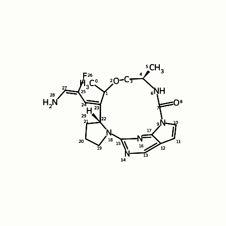 CC1OC[C@@H](C)NC(=O)n2ccc3cnc(nc32)N2CCC[C@@H]2/C1=C/C(F)=C\N